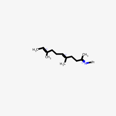 C/C=C(\C)CC/C=C(\C)CC/C(C)=N/C(C)C